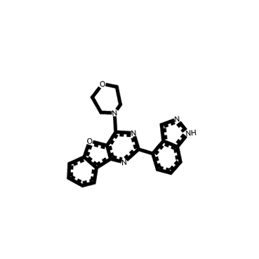 c1cc(-c2nc(N3CCOCC3)c3oc4ccccc4c3n2)c2cn[nH]c2c1